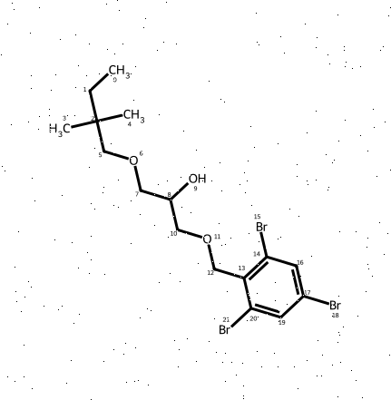 CCC(C)(C)COCC(O)COCc1c(Br)cc(Br)cc1Br